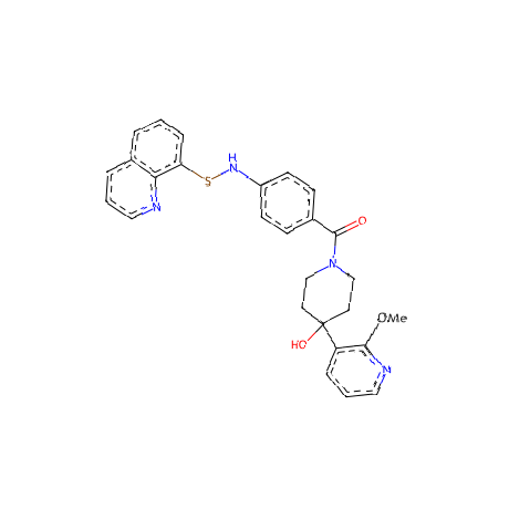 COc1ncccc1C1(O)CCN(C(=O)c2ccc(NSc3cccc4cccnc34)cc2)CC1